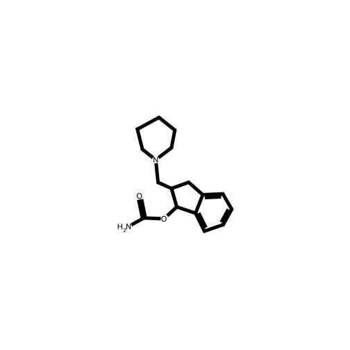 NC(=O)OC1c2ccccc2CC1CN1CCCCC1